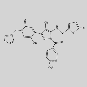 N#Cc1c(-c2cc(=O)n(Cc3ccsn3)cc2O)nn(C(=O)c2ccc(C(=O)O)cc2)c1NCc1ccc(Cl)s1